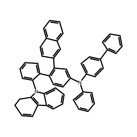 C1=Cc2c(n(-c3ccccc3-c3ccc(N(c4ccccc4)c4ccc(-c5ccccc5)cc4)cc3-c3ccc4ccccc4c3)c3ccccc23)CC1